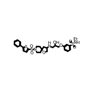 CCNS(=O)(=O)c1cccc(OCC(O)CNC2COC3(CCN(S(=O)(=O)c4ccc(-c5ccccc5)s4)CC3)C2)c1